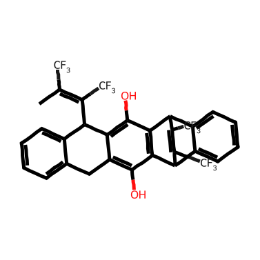 C/C(=C(\C1c2ccccc2Cc2c(O)c3c(c(O)c21)C1C(C(F)(F)F)=C(C(F)(F)F)C3c2ccccc21)C(F)(F)F)C(F)(F)F